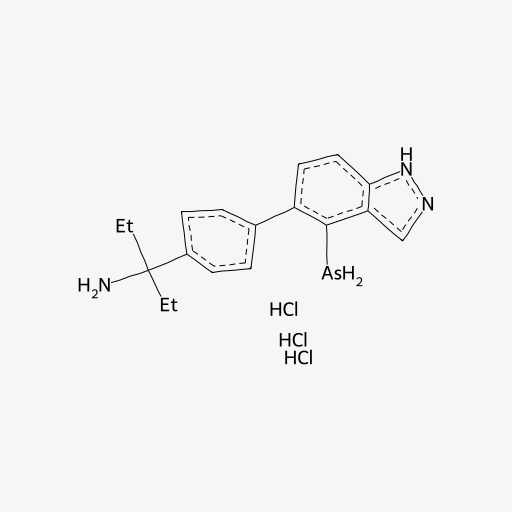 CCC(N)(CC)c1ccc(-c2ccc3[nH]ncc3c2[AsH2])cc1.Cl.Cl.Cl